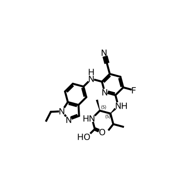 CCn1ncc2cc(Nc3nc(N[C@@H](C(C)C)[C@H](C)NC(=O)O)c(F)cc3C#N)ccc21